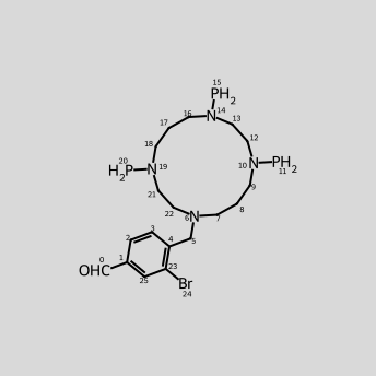 O=Cc1ccc(CN2CCCN(P)CCN(P)CCCN(P)CC2)c(Br)c1